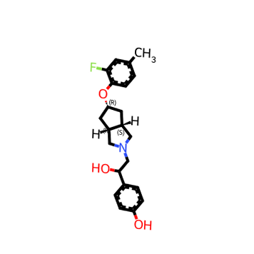 Cc1ccc(O[C@@H]2C[C@@H]3CN(CC(O)c4ccc(O)cc4)C[C@@H]3C2)c(F)c1